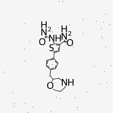 NC(=O)Nc1sc(-c2ccc(CC3CNCCCO3)cc2)cc1C(N)=O